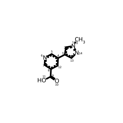 Cn1cc(-c2cncc(C(=O)O)c2)cn1